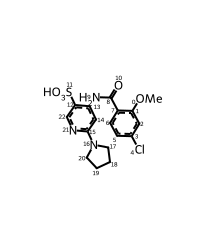 COc1cc(Cl)ccc1C(N)=O.O=S(=O)(O)c1ccc(N2CCCC2)nc1